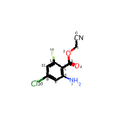 N#CCOC(=O)c1c(N)cc(Cl)cc1F